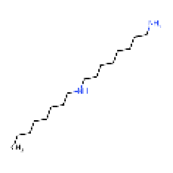 CCCCCCCCNCCCCCCCCN